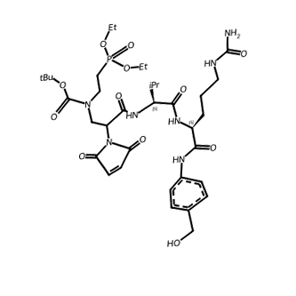 CCOP(=O)(CCN(CC(C(=O)N[C@H](C(=O)N[C@@H](CCCNC(N)=O)C(=O)Nc1ccc(CO)cc1)C(C)C)N1C(=O)C=CC1=O)C(=O)OC(C)(C)C)OCC